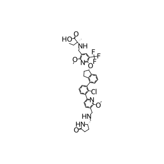 CC[C@](C)(NCc1cc(C(F)(F)F)c(O[C@H]2CCc3c(-c4cccc(-c5ccc(CNC[C@@H]6CCC(=O)N6)c(OC)n5)c4Cl)cccc32)nc1OC)C(=O)O